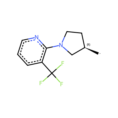 [CH2][C@@H]1CCN(c2ncccc2C(F)(F)F)C1